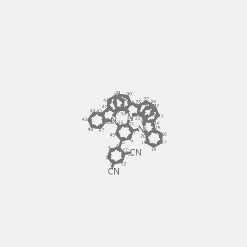 N#Cc1ccc(-c2cc(-n3c4ccccc4c4ccccc43)c(-n3c4ccccc4c4ccccc43)c(-n3c4ccccc4c4ccccc43)c2)c(C#N)c1